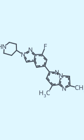 Cc1cn2nc(-c3cc(F)c4nn(C5CCNCC5)cc4c3)cc(C)c2n1